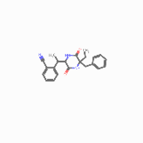 CCC1(Cc2ccccc2)NC(=O)C(C(C)c2ccccc2C#N)NC1=O